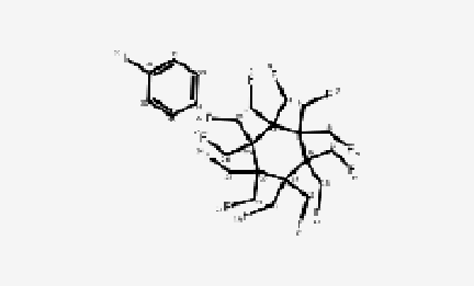 FCC1(CF)C(CF)(CF)C(CF)(CF)C(CF)(CF)C(CF)(CF)C1(CF)CF.Ic1ccccc1